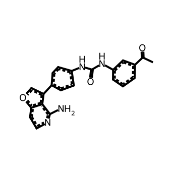 CC(=O)c1cccc(NC(=O)Nc2ccc(-c3coc4ccnc(N)c34)cc2)c1